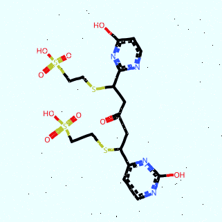 O=C(CC(SCCS(=O)(=O)O)c1ccnc(O)n1)CC(SCCS(=O)(=O)O)c1nccc(O)n1